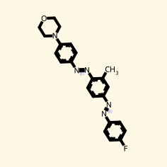 Cc1cc(/N=N/c2ccc(F)cc2)ccc1/N=N/c1ccc(N2CCOCC2)cc1